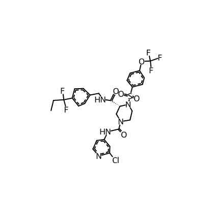 CCC(F)(F)c1ccc(CNC(=O)[C@H]2CN(C(=O)Nc3ccnc(Cl)c3)CCN2S(=O)(=O)c2ccc(OC(F)(F)F)cc2)cc1